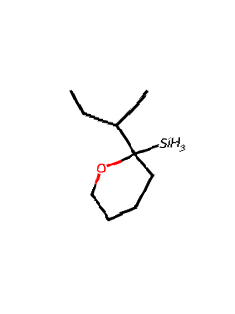 CCC(C)C1([SiH3])CCCCO1